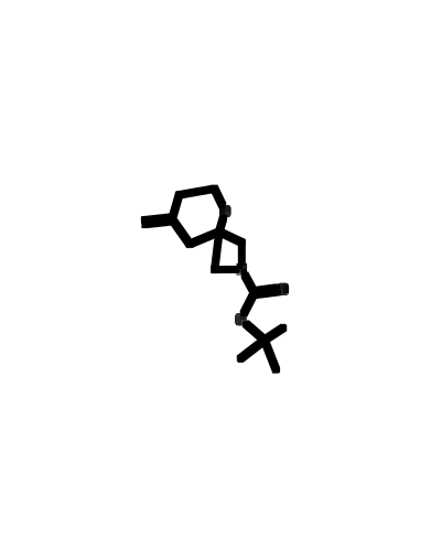 C=C1CCOC2(C1)CN(C(=O)OC(C)(C)C)C2